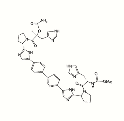 COC(=O)N[C@@H](Cc1c[nH]cn1)C(=O)N1CCCC1c1ncc(-c2ccc(-c3ccc(-c4cnc([C@@H]5CCCN5C(=O)[C@](C)(Cc5c[nH]cn5)OC(N)=O)[nH]4)cc3)cc2)[nH]1